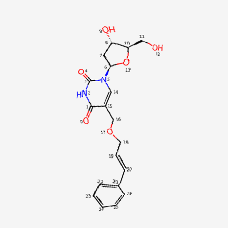 O=c1[nH]c(=O)n([C@H]2C[C@H](O)[C@@H](CO)O2)cc1COCC=Cc1ccccc1